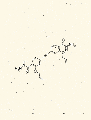 C=CCOc1cc(C#Cc2ccc(C(=O)NN)c(OCC=C)c2)ccc1C(=O)NN